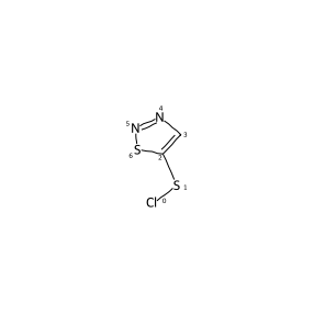 ClSc1cnns1